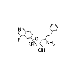 C[C@H](CC(N)CCc1ccccc1)NS(=O)(=O)c1ccc2cncc(F)c2c1.Cl